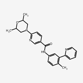 Cc1ccc(NC(=O)c2ccc(N3CC(C)OC(C)C3)nc2)cc1-c1ccccn1